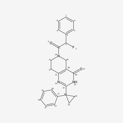 O=C(C(F)c1ccccc1)N1CCc2nc(C3(c4ccccc4)CC3)[nH]c(=O)c2C1